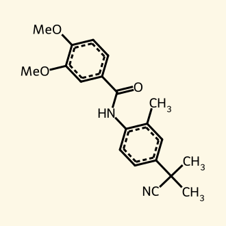 COc1ccc(C(=O)Nc2ccc(C(C)(C)C#N)cc2C)cc1OC